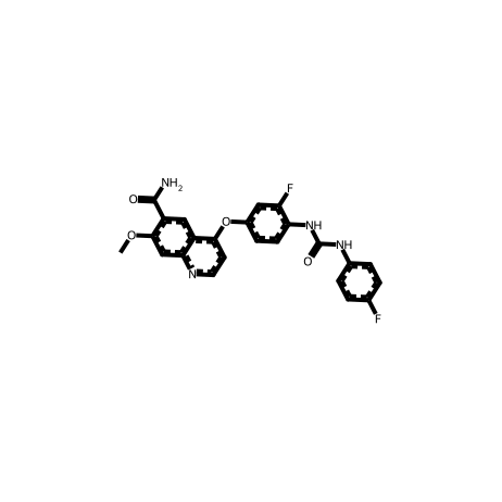 COc1cc2nccc(Oc3ccc(NC(=O)Nc4ccc(F)cc4)c(F)c3)c2cc1C(N)=O